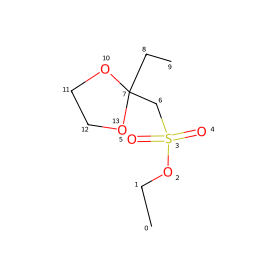 CCOS(=O)(=O)CC1(CC)OCCO1